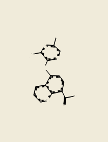 NC(=O)c1ccc(Sc2ncc(Cl)nc2N)c2cccnc12